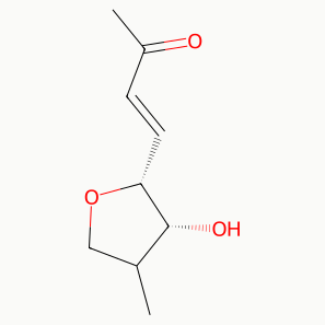 CC(=O)/C=C/[C@H]1OCC(C)[C@H]1O